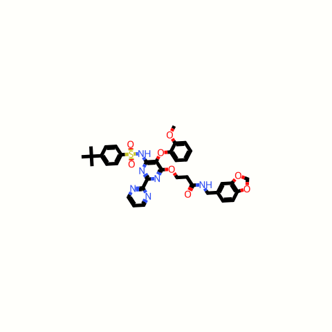 COc1ccccc1Oc1c(NS(=O)(=O)c2ccc(C(C)(C)C)cc2)nc(-c2ncccn2)nc1OCCC(=O)NCc1ccc2c(c1)OCO2